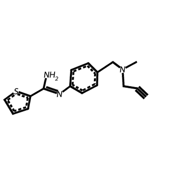 C#CCN(C)Cc1ccc(N=C(N)c2cccs2)cc1